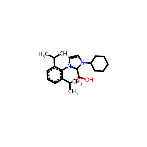 CC(C)c1cccc(C(C)C)c1N1C=CN(C2CCCCC2)C1C(=O)O